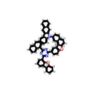 c1ccc2cc3c(cc2c1)c1ccccc1n3-c1ccc2ccc3oc4ccc(-c5nc(-c6cccc7ccccc67)nc(-c6cccc7c6oc6ccccc67)n5)cc4c3c2c1